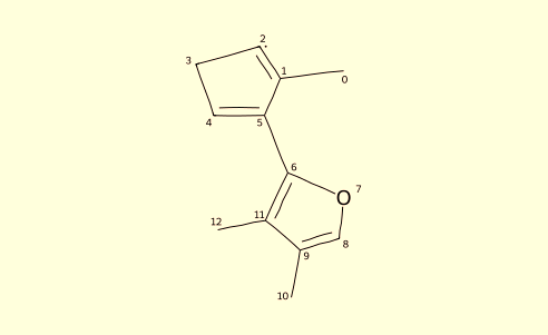 CC1=[C]CC=C1c1occ(C)c1C